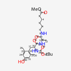 COC(=O)CCCCCNC(=O)[C@@H](C)NC(=O)C(Cc1c(C)cc(O)cc1C)NC(=O)OC(C)(C)C